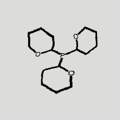 C1CCC(P(C2CCCCO2)C2CCCCO2)OC1